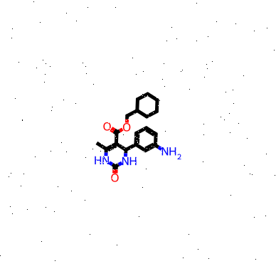 CC1=C(C(=O)OCC2CCCCC2)C(c2cccc(N)c2)NC(=O)N1